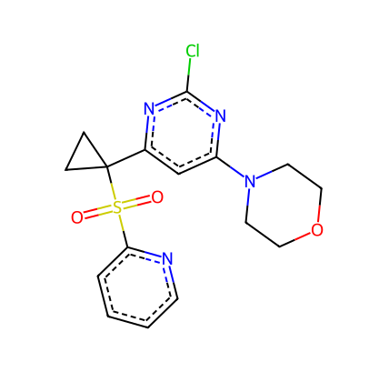 O=S(=O)(c1ccccn1)C1(c2cc(N3CCOCC3)nc(Cl)n2)CC1